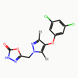 CCc1nn(Cc2n[nH]c(=O)o2)c(CC)c1Oc1cc(Cl)cc(Cl)c1